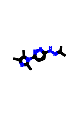 CC(C)=NNc1ccc(-n2c(C)nc(C)c2C)nn1